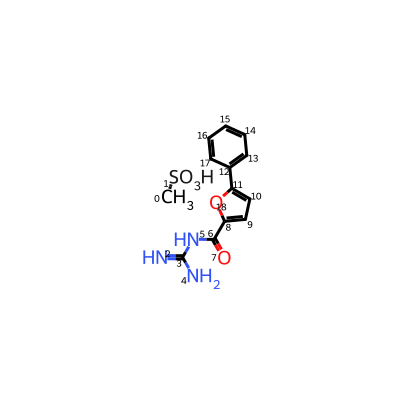 CS(=O)(=O)O.N=C(N)NC(=O)c1ccc(-c2ccccc2)o1